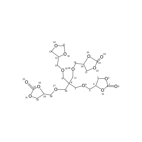 O=C1OCC(COCC(COCC2COCO2)(COCC2COC(=O)O2)COCC2COC(=O)O2)O1